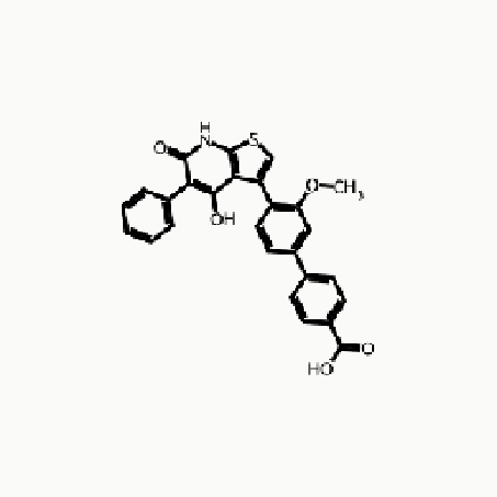 COc1cc(-c2ccc(C(=O)O)cc2)ccc1-c1csc2[nH]c(=O)c(-c3ccccc3)c(O)c12